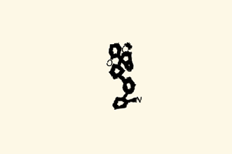 N#Cc1ccccc1-c1cccc(-c2ccc3c(c2)C2(c4ccccc4O3)c3ccccc3-c3ccccc32)c1